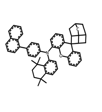 CC1(C)CCC(C)(C)c2c(N(c3ccc(-c4cccc5ccccc45)cc3)c3cccc4c3Oc3ccccc3C43C4CC5CC6CC3C64C5)cccc21